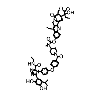 CCNC(=O)c1nnc(-c2cc(C(C)C)c(O)cc2O)n1-c1ccc(Oc2ccc(C(=O)N3CCC(N(C)C(=O)Oc4ccc5nc6c(c(CC)c5c4)Cn4c-6cc5c(c4=O)COC(=O)C5(O)CC)CC3)cc2)cc1